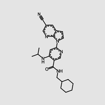 CC(C)Nc1cc(-n2ccc3cc(C#N)cnc32)ncc1C(=O)NCC1CCCCC1